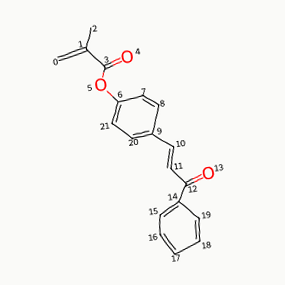 C=C(C)C(=O)Oc1ccc(C=CC(=O)c2ccccc2)cc1